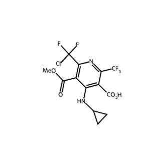 COC(=O)c1c(C(F)(F)Cl)nc(C(F)(F)F)c(C(=O)O)c1NC1CC1